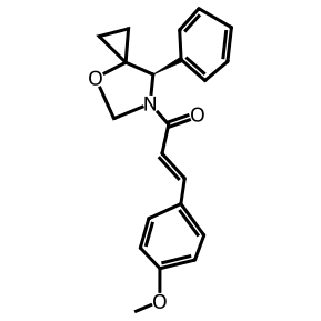 COc1ccc(/C=C/C(=O)N2COC3(CC3)[C@H]2c2ccccc2)cc1